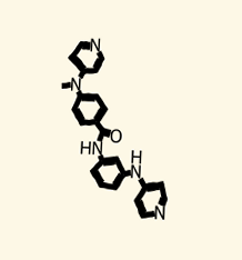 CN(c1ccncc1)c1ccc(C(=O)Nc2cccc(Nc3ccncc3)c2)cc1